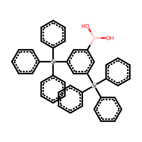 OB(O)c1cc([Si](c2ccccc2)(c2ccccc2)c2ccccc2)cc([Si](c2ccccc2)(c2ccccc2)c2ccccc2)c1